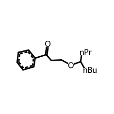 CCCCC(CCC)OCCC(=O)c1ccccc1